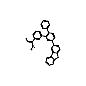 C=N/C(=C/C)c1cccc(-c2cc(-c3ccc4c(c3)-c3ccccc3C4)ccc2-c2ccccc2)c1